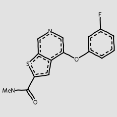 CNC(=O)c1cc2c(Oc3cccc(F)c3)cncc2s1